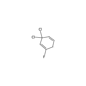 FC1=CC(Cl)(Cl)C=C[CH]1